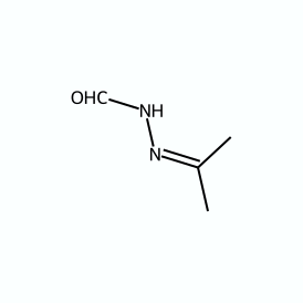 CC(C)=NNC=O